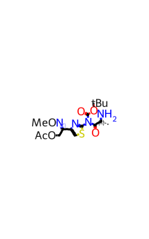 CO/N=C(\COC(C)=O)c1csc(N(C(=O)OC(C)(C)C)C(=O)[C@@H](C)N)n1